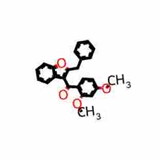 COc1ccc(C(=O)c2c(Cc3ccccc3)oc3ccccc23)c(OC)c1